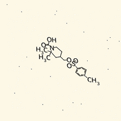 Cc1ccc(S(=O)(=O)OCC2CCN(C(=O)O)C(C)(C)C2)cc1